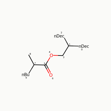 CCCCCCCCCCC(CCCCCCCCCC)COC(=O)C(C)CCCC